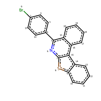 Brc1ccc(-c2nc3sc4ccccc4c3c3ccccc23)cc1